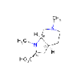 CN1CC[C@H]2C[C@@H](C(=O)O)N(C)[C@H]2C1